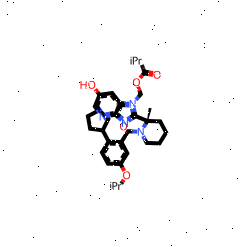 CC(C)Oc1ccc(C2CCCC2)c(C(=O)N2CCCC[C@@]2(C)c2nc3ncc(O)cc3n2COC(=O)C(C)C)c1